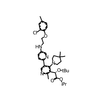 Cc1ccc(OCCNc2ccc(-c3cnc(C)c([C@H](OC(C)(C)C)C(=O)OC(C)C)c3N3CCC(C)(C)CC3)nc2)c(Cl)c1